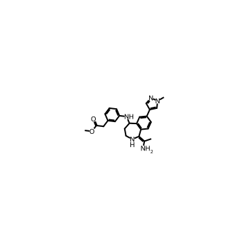 COC(=O)Cc1cccc(NC2CCN/C(=C(/C)N)c3ccc(-c4cnn(C)c4)cc32)c1